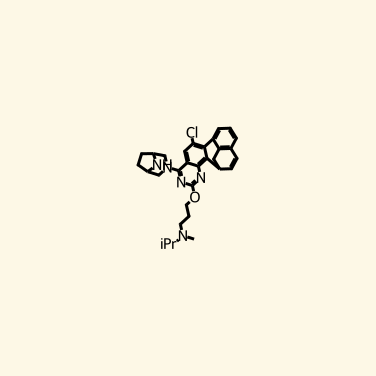 CC(C)N(C)CCCOc1nc(N2CC3CCC(C2)N3)c2cc(Cl)c3c(c2n1)C1C=Cc2cccc-3c2C1